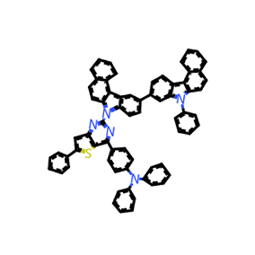 c1ccc(-c2cc3nc(-n4c5ccc(-c6ccc7c8c9ccccc9ccc8n(-c8ccccc8)c7c6)cc5c5c6ccccc6ccc54)nc(-c4ccc(N(c5ccccc5)c5ccccc5)cc4)c3s2)cc1